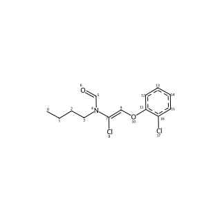 CCCCN(C=O)C(Cl)=COc1ccccc1Cl